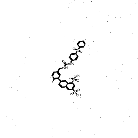 O=C(NCc1ccc(F)c(-c2ccc3cc(S(=O)(=O)O)cc(S(=O)(=O)O)c3c2)c1)Nc1ccc(S(=O)(=O)c2ccccc2)cc1